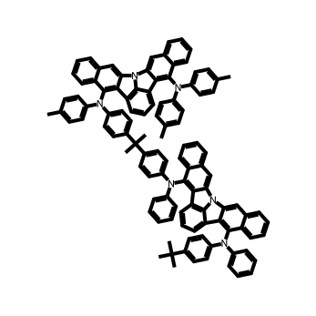 Cc1ccc(N(c2ccc(C)cc2)c2c3ccccc3cc3c2c2cccc4c5c(N(c6ccc(C)cc6)c6ccc(C(C)(C)c7ccc(N(c8ccccc8)c8c9ccccc9cc9c8c8cccc%10c%11c(N(c%12ccccc%12)c%12ccc(C(C)(C)C)cc%12)c%12ccccc%12cc%11n9c%108)cc7)cc6)c6ccccc6cc5n3c24)cc1